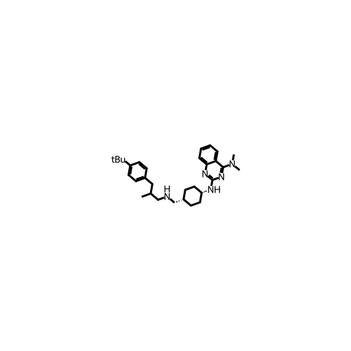 CC(CNC[C@H]1CC[C@@H](Nc2nc(N(C)C)c3ccccc3n2)CC1)Cc1ccc(C(C)(C)C)cc1